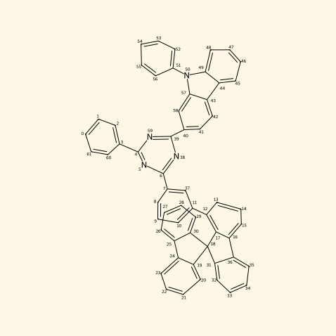 c1ccc(-c2nc(-c3cccc(-c4cccc5c4C4(c6ccccc6-c6ccccc64)c4ccccc4-5)c3)nc(-c3ccc4c5ccccc5n(-c5ccccc5)c4c3)n2)cc1